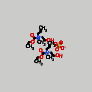 C=CC[N+](C)(CCO)C(=O)OCC.C=CC[N+](C)(CCO)C(=O)OCC.O=S(=O)([O-])[O-]